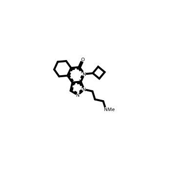 CNCCCn1ncc2c3c(c(=O)n(C4CCC4)c21)CCCC3